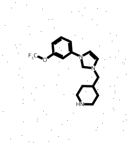 FC(F)(F)Oc1cccc(N2C=CN(CC3CCNCC3)C2)c1